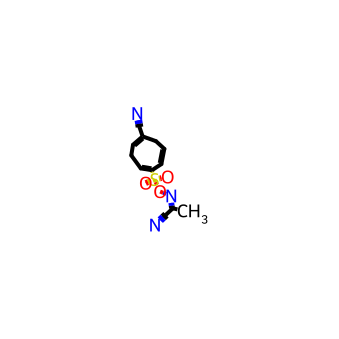 C/C(C#N)=N/OS(=O)(=O)C1=C/C/C=C(/C#N)C/C=C\1